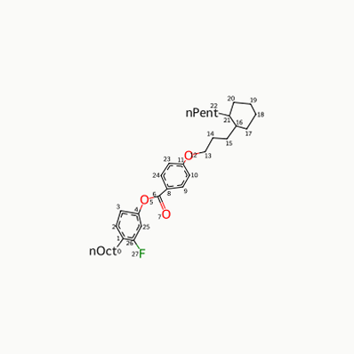 CCCCCCCCc1ccc(OC(=O)c2ccc(OCCCC3CCCCC3CCCCC)cc2)cc1F